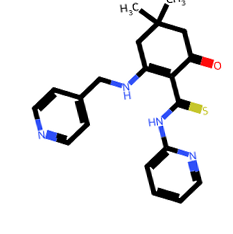 CC1(C)CC(=O)C(C(=S)Nc2ccccn2)=C(NCc2ccncc2)C1